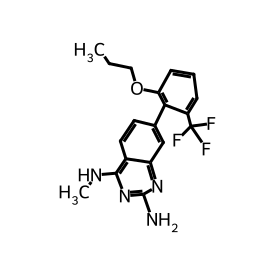 CCCOc1cccc(C(F)(F)F)c1-c1ccc2c(NC)nc(N)nc2c1